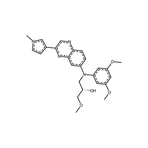 COC[C@@H](O)CN(c1cc(OC)cc(OC)c1)c1ccc2ncc(-c3ccn(C)c3)nc2c1